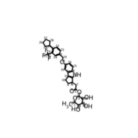 C[C@H]1O[C@@H](OC(=O)C[C@H]2CCc3c2[nH]c2ccc(OCc4ccc(C5CCCC5)c(C(F)(F)F)c4)cc32)[C@H](O)[C@@H](O)[C@@H]1O